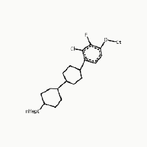 CCCCCCCC1CCC(C2CCC(c3ccc(OCC)c(F)c3Cl)CC2)CC1